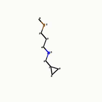 CSCCC[N]CC1CC1